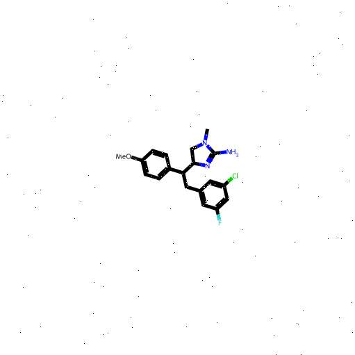 COc1ccc(C(Cc2cc(F)cc(Cl)c2)C2CN(C)C(N)=N2)cc1